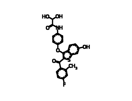 Cc1cc(F)ccc1C(=O)c1sc2cc(O)ccc2c1Oc1ccc(NC(=O)C(O)O)cc1